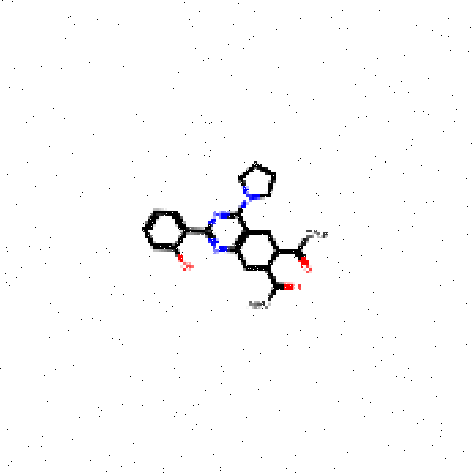 COC(=O)C1Cc2nc(-c3ccccc3O)nc(N3CCCC3)c2CC1C(=O)OC